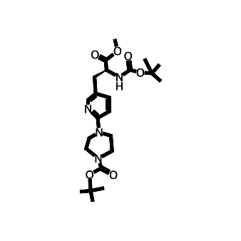 COC(=O)[C@H](Cc1ccc(N2CCN(C(=O)OC(C)(C)C)CC2)nc1)NC(=O)OC(C)(C)C